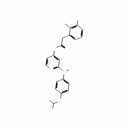 CC(=O)N(c1ccc(OC(F)F)cc1)c1cc(NC(=O)Cc2cccc(F)c2Cl)ccn1